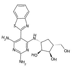 Nc1nc(N)c(-c2nc3ccccc3s2)c(N[C@@H]2C[C@H](CO)[C@@H](O)[C@H]2O)n1